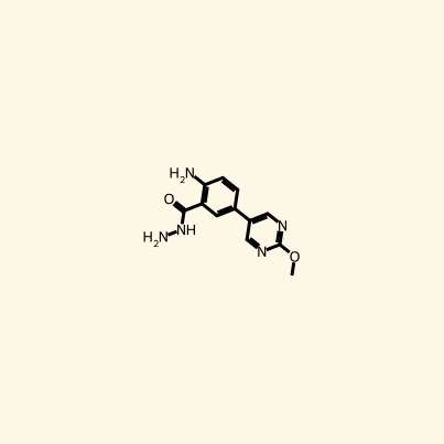 COc1ncc(-c2ccc(N)c(C(=O)NN)c2)cn1